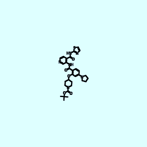 CC(C)(C)OC(=O)N1CCC(Oc2cc(N3CCCC3)ccc2C(=O)Nc2cnccc2C(=O)Nc2nccs2)CC1